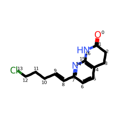 O=C1CCc2ccc(C=CCCCCl)nc2N1